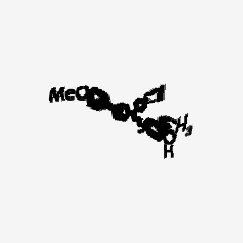 COc1ccc(-c2ccc(C(=CCSc3ccc(O)c(C)c3)c3ccc(Cl)cc3)cc2)cc1